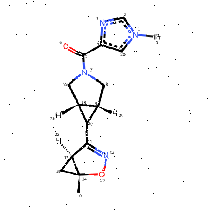 CC(C)n1cnc(C(=O)N2C[C@@H]3C(C4=NO[C@]5(C)C[C@@H]45)[C@@H]3C2)c1